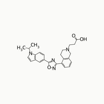 CC(C)n1ccc2cc(-c3nc(-c4cccc5c4CCN(CCC(=O)O)C5)no3)ccc21